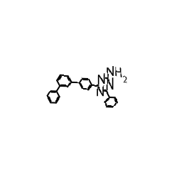 Nc1nc(-c2ccccc2)nc(-c2ccc(-c3cccc(-c4ccccc4)c3)cc2)n1